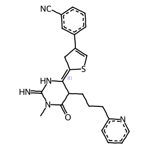 CN1C(=N)N/C(=C2\CC(c3cccc(C#N)c3)=CS2)C(CCCc2ccccn2)C1=O